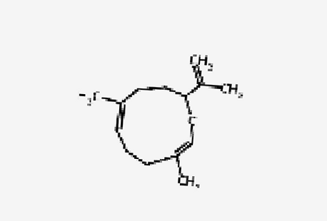 C=C(C)C1CC=C(C)CCC=C(C)CC1